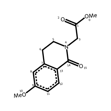 COC(=O)CN1CCc2cc(OC)ccc2C1=O